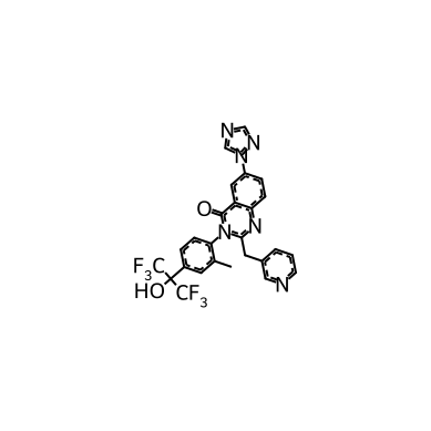 Cc1cc(C(O)(C(F)(F)F)C(F)(F)F)ccc1-n1c(Cc2cccnc2)nc2ccc(-n3cncn3)cc2c1=O